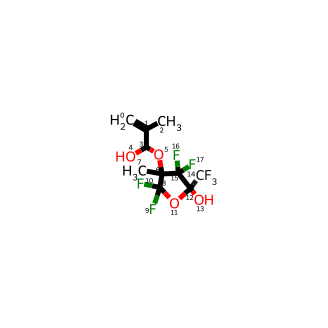 C=C(C)C(O)OC1(C)C(F)(F)OC(O)(C(F)(F)F)C1(F)F